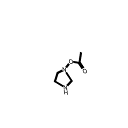 CC(=O)ON1CCNC1